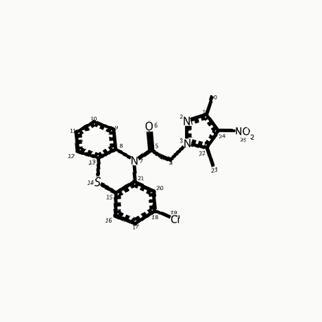 Cc1nn(CC(=O)N2c3ccccc3Sc3ccc(Cl)cc32)c(C)c1[N+](=O)[O-]